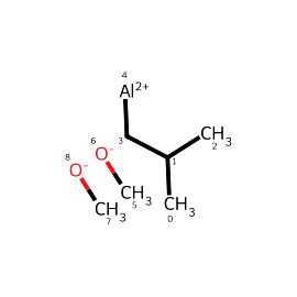 CC(C)[CH2][Al+2].C[O-].C[O-]